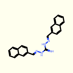 N=C(N/N=C/c1ccc2ccccc2c1)N/N=C/c1ccc2ccccc2c1